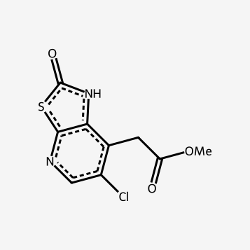 COC(=O)Cc1c(Cl)cnc2sc(=O)[nH]c12